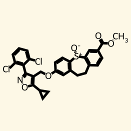 COC(=O)c1ccc2c(c1)[S+]([O-])c1ccc(OCc3c(-c4c(Cl)cccc4Cl)noc3C3CC3)cc1CC2